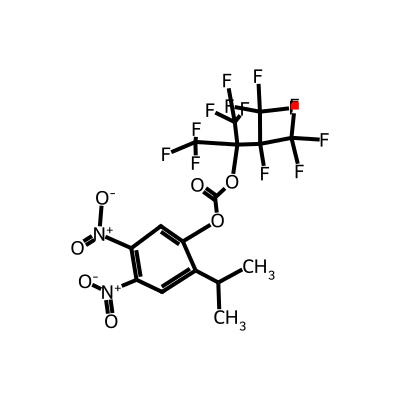 CC(C)c1cc([N+](=O)[O-])c([N+](=O)[O-])cc1OC(=O)OC(C(F)(F)F)(C(F)(F)F)C(F)(C(F)(F)F)C(F)(F)F